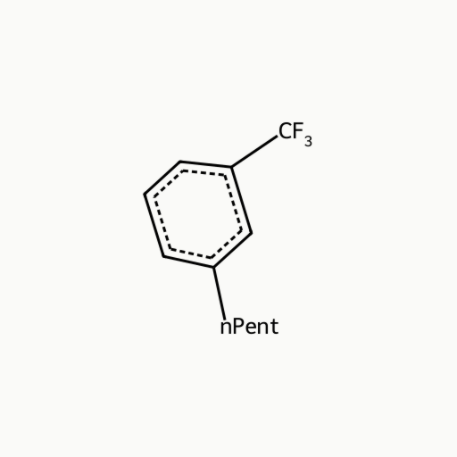 CC[CH]CCc1cccc(C(F)(F)F)c1